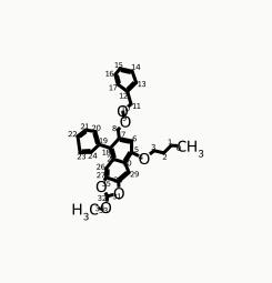 CCCCOc1cc(COOCc2ccccc2)c(-c2ccccc2)c2cc3c(cc12)OC(OC)O3